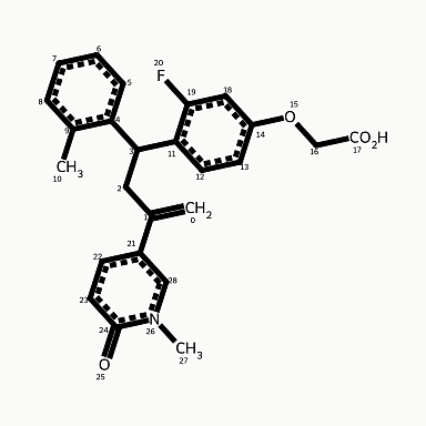 C=C(CC(c1ccccc1C)c1ccc(OCC(=O)O)cc1F)c1ccc(=O)n(C)c1